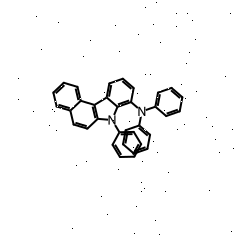 c1ccc(N(c2ccccc2)c2cccc3c4c5ccccc5ccc4n(-c4ccccc4)c23)cc1